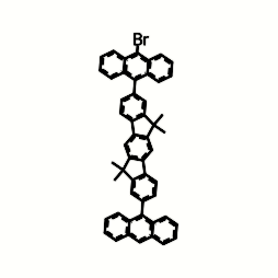 CC1(C)c2cc(-c3c4ccccc4cc4ccccc34)ccc2-c2cc3c(cc21)-c1ccc(-c2c4ccccc4c(Br)c4ccccc24)cc1C3(C)C